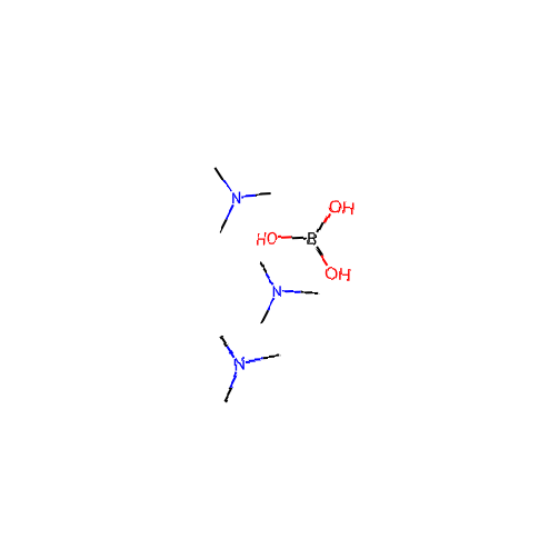 CN(C)C.CN(C)C.CN(C)C.OB(O)O